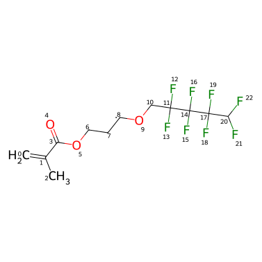 C=C(C)C(=O)OCC[CH]OCC(F)(F)C(F)(F)C(F)(F)C(F)F